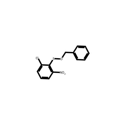 O=[N+]([O-])c1cccc(Cl)c1SOCc1ccccc1